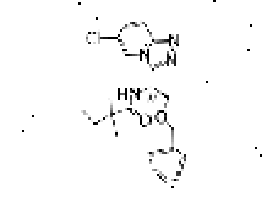 CCC(C)(C)C(=O)N[C@H](COCc1ccccc1)c1nnc2ccc(Cl)cn12